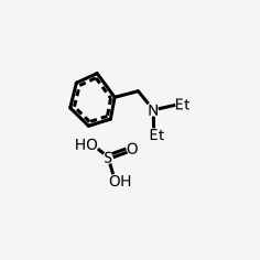 CCN(CC)Cc1ccccc1.O=S(O)O